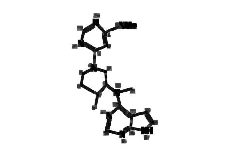 CNc1cc(N2CCC(C)C(N(C)c3ncnc4[nH]ccc34)C2)ncn1